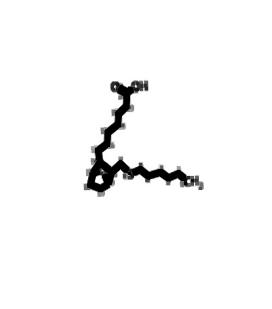 CCCCCCSCC1C2CCC(O2)C1CCCCCCC(=O)O